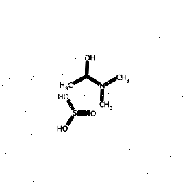 CC(O)N(C)C.O=S(O)O